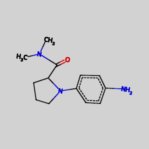 CN(C)C(=O)C1CCCN1c1ccc(N)cc1